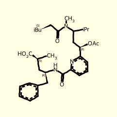 CC[C@H](C)CC(=O)N(C)C(C[C@@H](OC(C)=O)c1cccc(C(=O)N[C@@H](Cc2ccccc2)C[C@H](C)C(=O)O)n1)C(C)C